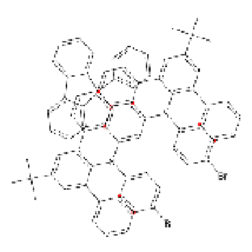 CC(C)(C)c1cc(-c2ccccc2)c(N(c2ccc(Br)cc2)c2cc(N(c3ccc(Br)cc3)c3c(-c4ccccc4)cc(C(C)(C)C)cc3-c3ccccc3)cc(C3(c4ccccc4)c4ccccc4-c4ccccc43)c2)c(-c2ccccc2)c1